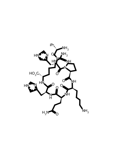 CC(C)[C@H](N)C(=O)N[C@@H](Cc1c[nH]cn1)C(=O)N1CCC[C@H]1C(=O)N[C@@H](CCCCN)C(=O)N[C@@H](CCC(N)=O)C(=O)N[C@@H](Cc1c[nH]cn1)C(=O)N[C@@H](CCCNC(=N)N)C(=O)O